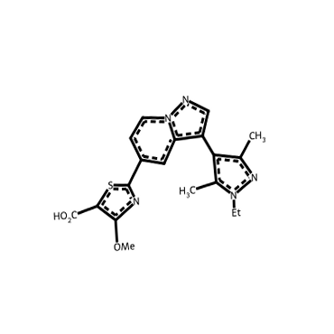 CCn1nc(C)c(-c2cnn3ccc(-c4nc(OC)c(C(=O)O)s4)cc23)c1C